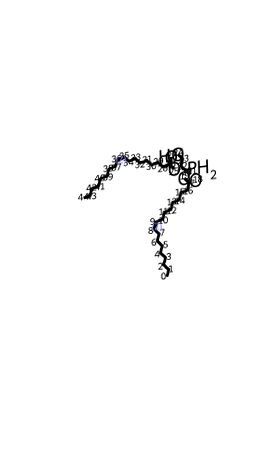 CCCCCCCC/C=C\CCCCCCCC(=O)OC(P)C(CO)OC(=O)CCCCCCC/C=C\CCCCCCCC